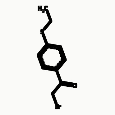 CCSc1ccc(C(=O)CBr)cc1